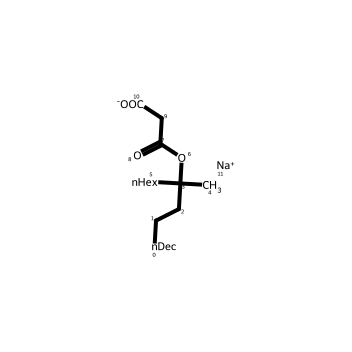 CCCCCCCCCCCCC(C)(CCCCCC)OC(=O)CC(=O)[O-].[Na+]